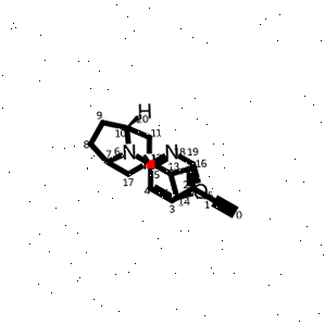 C#Cc1ccc(N2C3CC[C@@H]2CN(C2COC2)C3)nc1